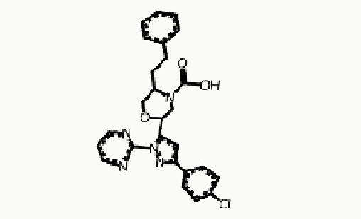 O=C(O)N1CC(c2cc(-c3ccc(Cl)cc3)nn2-c2ncccn2)OCC1CCc1ccccc1